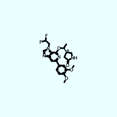 COc1ccc(-c2cc3ncn(CC(F)F)c3c(OC(C)[C@H]3CNC(=O)C3)n2)cc1OC